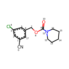 N#Cc1cc(Cl)cc(COC(=O)N2CCCCC2)c1